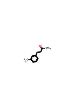 CNC(=O)CCc1cccc(C(F)(F)F)c1